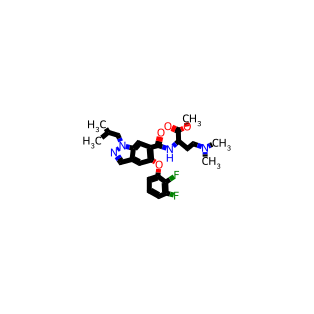 COC(=O)C(CCN(C)C)NC(=O)c1cc2c(cnn2CC(C)C)cc1Oc1cccc(F)c1F